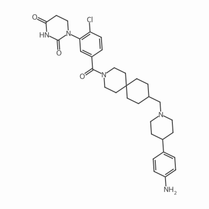 Nc1ccc(C2CCN(CC3CCC4(CC3)CCN(C(=O)c3ccc(Cl)c(N5CCC(=O)NC5=O)c3)CC4)CC2)cc1